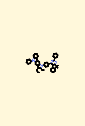 C=Cc1c(/C=C\C)c2cc3c(cc2n1-c1ccc(-c2nc(-c4ccccc4)nc4c2-c2ccccc2C4(C)C)cc1)c1ccccc1n3-c1ccccc1